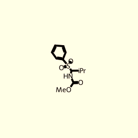 COC(=O)NC(C(C)C)S(=O)(=O)c1ccccc1